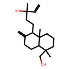 C=CC(C)(O)CCC1C(=C)CCC2C(C)(CO)CCCC12C